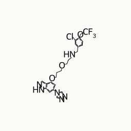 FC(F)(F)Oc1ccc(CNCCCOCCCOc2cc(-n3cnnc3)cc3[nH]ncc23)cc1Cl